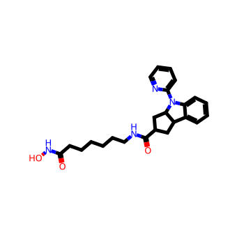 O=C(CCCCCCNC(=O)C1CC2c3ccccc3N(c3ccccn3)C2C1)NO